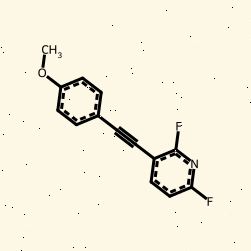 COc1ccc(C#Cc2ccc(F)nc2F)cc1